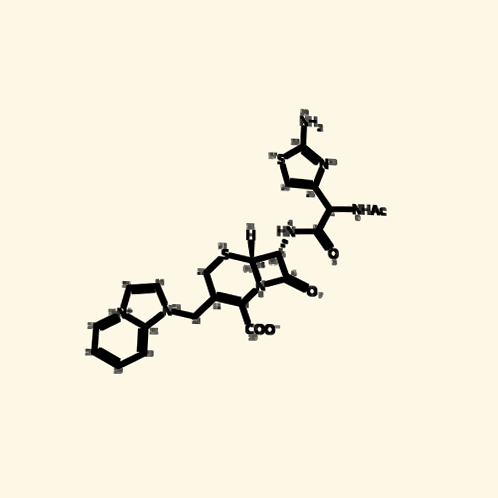 CC(=O)NC(C(=O)N[C@@H]1C(=O)N2C(C(=O)[O-])=C(Cn3cc[n+]4ccccc34)CS[C@H]12)c1csc(N)n1